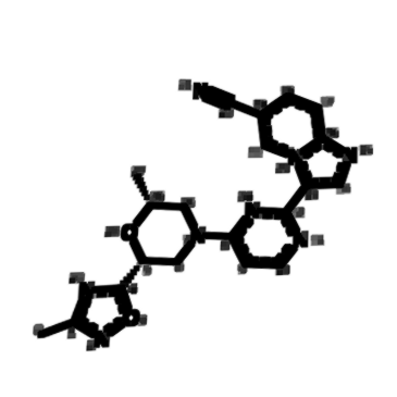 Cc1noc([C@H]2CN(c3ccnc(-c4cnc5ccc(C#N)cn45)n3)C[C@@H](C)O2)n1